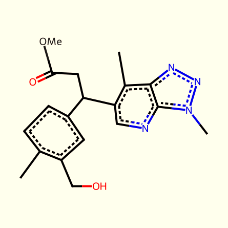 COC(=O)CC(c1ccc(C)c(CO)c1)c1cnc2c(nnn2C)c1C